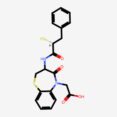 O=C(O)CN1C(=O)C(NC(=O)[C@H](S)Cc2ccccc2)CSc2ccccc21